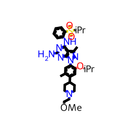 COCCN1CCC(c2cc(OC(C)C)c(-n3nc(C)c4c(Nc5ccccc5S(=O)(=O)C(C)C)nc(N)nc43)cc2C)CC1